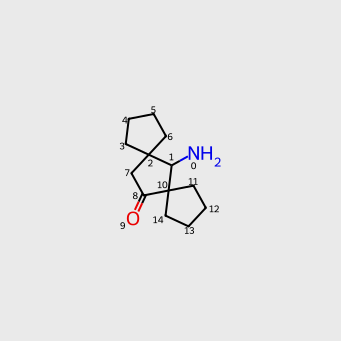 NC1C2(CCCC2)CC(=O)C12CCCC2